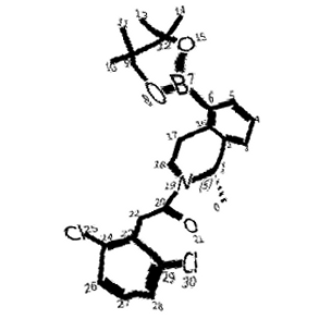 C[C@H]1c2cccc(B3OC(C)(C)C(C)(C)O3)c2CCN1C(=O)Cc1c(Cl)cccc1Cl